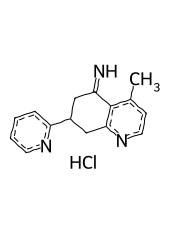 Cc1ccnc2c1C(=N)CC(c1ccccn1)C2.Cl